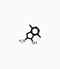 Cc1ccc(C)c2c1CC(N)C2O